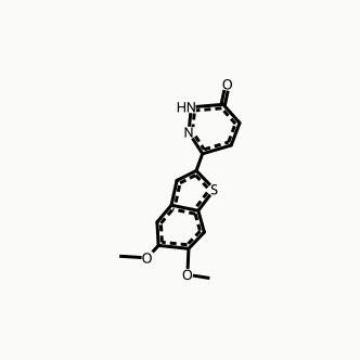 COc1cc2cc(-c3ccc(=O)[nH]n3)sc2cc1OC